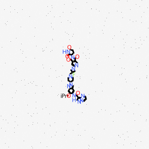 CC(C)Oc1cc2nn(C3CCN(CC4(F)CN(c5cc6c(cn5)C(=O)N(C5CCC(=O)NC5=O)C6=O)C4)CC3)cc2cc1NC(=O)c1cnn2cccnc12